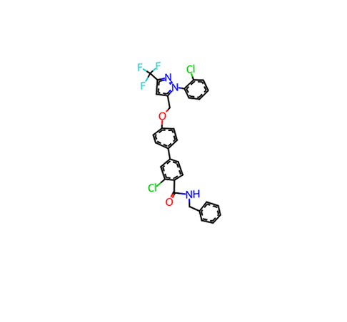 O=C(NCc1ccccc1)c1ccc(-c2ccc(OCc3cc(C(F)(F)F)nn3-c3ccccc3Cl)cc2)cc1Cl